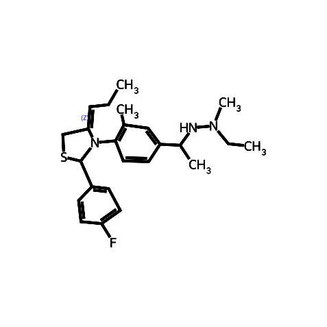 CC/C=C1/CSC(c2ccc(F)cc2)N1c1ccc(C(C)NN(C)CC)cc1C